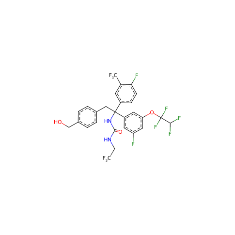 O=C(NCC(F)(F)F)NC(Cc1ccc(CO)cc1)(c1cc(F)cc(OC(F)(F)C(F)F)c1)c1ccc(F)c(C(F)(F)F)c1